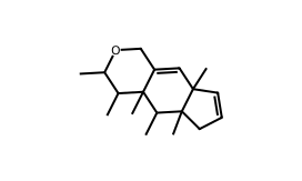 CC1OCC2=CC3(C)C=CCC3(C)C(C)C2(C)C1C